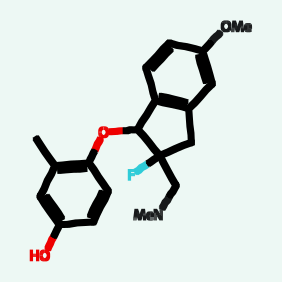 CNCC1(F)Cc2cc(OC)ccc2C1Oc1ccc(O)cc1C